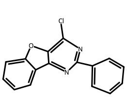 Clc1nc(-c2ccccc2)nc2c1oc1ccccc12